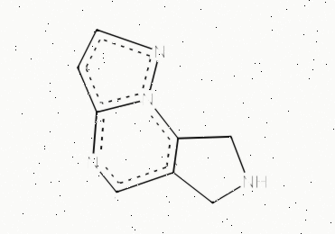 c1cc2ncc3c(n2n1)CNC3